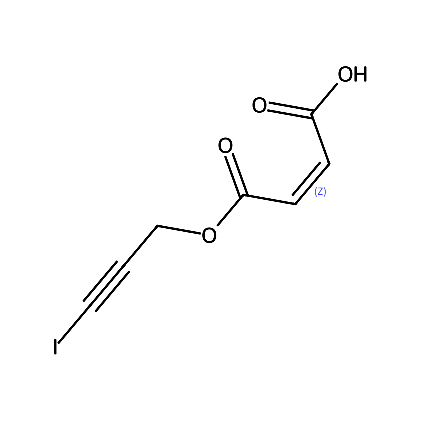 O=C(O)/C=C\C(=O)OCC#CI